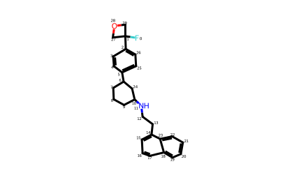 FC1(c2ccc(C3CCCC(NCCc4cccc5ccccc45)C3)cc2)COC1